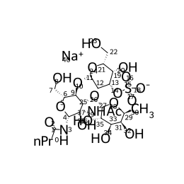 CCCC(=O)N[C@@H]1O[C@H](CO)[C@@H](O[C@H]2C[C@@H](OS(=O)(=O)[O-])[C@@H](O)[C@@H](CO)O2)[C@H](O[C@@H]2O[C@@H](C)[C@@H](O)[C@@H](O)[C@@H]2O)[C@]1(O)NC(C)=O.[Na+]